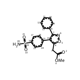 COC(=O)Cc1onc(-c2ccccc2)c1-c1ccc(S(N)(=O)=O)cc1